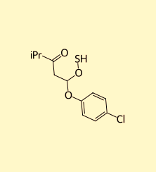 CC(C)C(=O)CC(OS)Oc1ccc(Cl)cc1